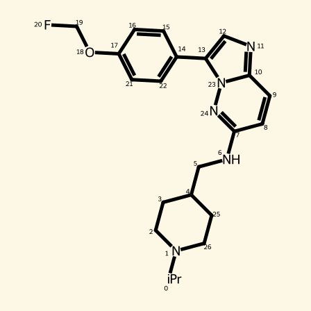 CC(C)N1CCC(CNc2ccc3ncc(-c4ccc(OCF)cc4)n3n2)CC1